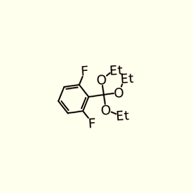 CCOC(OCC)(OCC)c1c(F)cccc1F